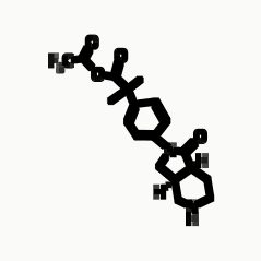 CC(C)(C(=O)OC(=O)C(F)(F)F)c1ccc(N2C[C@@H]3CNCC[C@@H]3C2=O)cc1